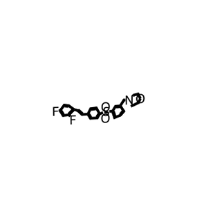 O=S(=O)(c1ccc(C=Cc2ccc(F)cc2F)cc1)c1cccc(CN2CCOCC2)c1